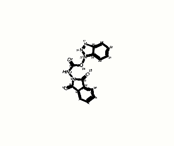 O=C(NN1C(=O)c2ccccc2C1=O)On1nnc2ccccc21